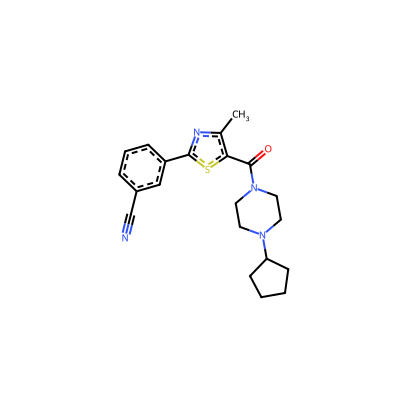 Cc1nc(-c2cccc(C#N)c2)sc1C(=O)N1CCN(C2CCCC2)CC1